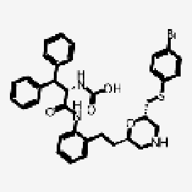 O=C(O)N[C@H](C(=O)Nc1ccccc1CC[C@@H]1CNC[C@@H](CSc2ccc(Br)cc2)O1)C(c1ccccc1)c1ccccc1